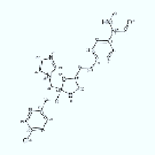 CNN(C=O)c1ccc(SCC2COC(CCc3ccc(Cl)cc3)(Cn3ccnc3)O2)cc1